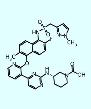 Cc1ccc2c(NS(=O)(=O)Cc3ccn(C)n3)c(F)ccc2c1Oc1ncccc1-c1ccnc(N[C@H]2CCCN(C(=O)O)C2)n1